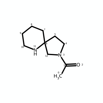 CC(=O)N1CCC2(CCCCN2)C1